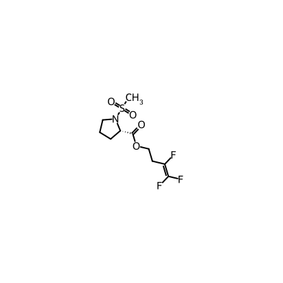 CS(=O)(=O)N1CCC[C@H]1C(=O)OCCC(F)=C(F)F